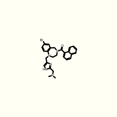 CN(C)Cc1nc(CN2CCN(C(=O)c3cccc4ccccc34)Cc3cc(Br)ccc32)c[nH]1